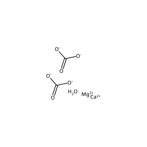 O.O=C([O-])[O-].O=C([O-])[O-].[Ca+2].[Mg+2]